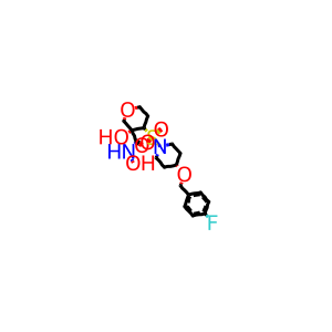 O=C(NO)C1(O)COCCC1S(=O)(=O)N1CCC(OCc2ccc(F)cc2)CC1